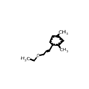 C[CH]OC/C=C/c1ccc(C)cc1C